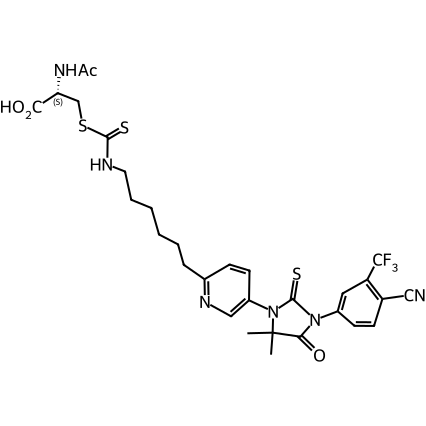 CC(=O)N[C@H](CSC(=S)NCCCCCCc1ccc(N2C(=S)N(c3ccc(C#N)c(C(F)(F)F)c3)C(=O)C2(C)C)cn1)C(=O)O